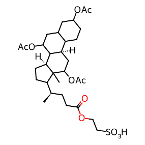 CC(=O)OC1CCC2C(C1)CC(OC(C)=O)C1[C@@H]2CC(OC(C)=O)C2(C)C([C@H](C)CCC(=O)OCCS(=O)(=O)O)CC[C@@H]12